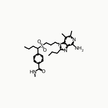 CCCc1nc2c(N)nc(C)c(C)c2n1CCCS(=O)(=O)C(CCC)c1ccc(C(=O)NC)cc1